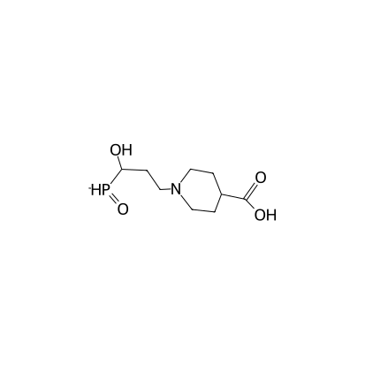 C[PH](=O)C(O)CCN1CCC(C(=O)O)CC1